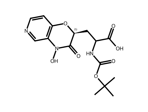 CC(C)(C)OC(=O)NC(C[C@@H]1Oc2ccncc2N(O)C1=O)C(=O)O